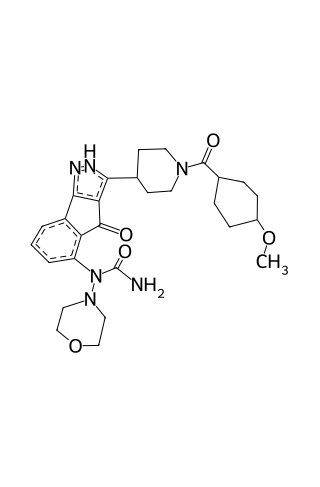 COC1CCC(C(=O)N2CCC(c3[nH]nc4c3C(=O)c3c-4cccc3N(C(N)=O)N3CCOCC3)CC2)CC1